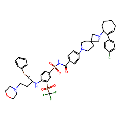 O=C(NS(=O)(=O)c1ccc(NC(CCN2CCOCC2)CSc2ccccc2)c(S(=O)(=O)C(F)(F)F)c1)c1ccc(N2CCC3(CC2)CN(C2CCCCC=C2c2ccc(Cl)cc2)C3)cc1